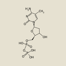 Cc1cn([C@H]2CC(O)[C@@H](COP(=O)(O)OP(=O)(O)O)O2)c(=O)nc1N